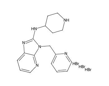 Br.Br.Br.c1ccc(Cn2c(NC3CCNCC3)nc3cccnc32)nc1